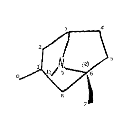 CC1CC2CC[C@](C)(C1)N2C